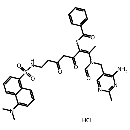 CC(=C(SC(=O)c1ccccc1)C(=O)CC(=O)CCNS(=O)(=O)c1cccc2c(N(C)C)cccc12)N(C=O)Cc1cnc(C)nc1N.Cl